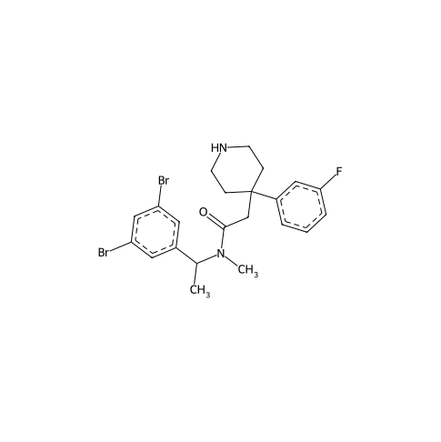 CC(c1cc(Br)cc(Br)c1)N(C)C(=O)CC1(c2cccc(F)c2)CCNCC1